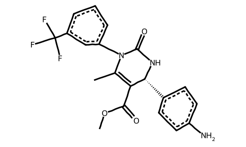 COC(=O)C1=C(C)N(c2cccc(C(F)(F)F)c2)C(=O)N[C@@H]1c1ccc(N)cc1